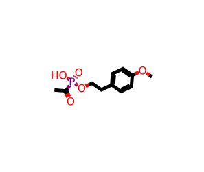 COc1ccc(CCOP(=O)(O)C(C)=O)cc1